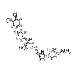 Cl.Nc1ccc(-c2csc(SCCCC(=O)NC3CCN(Cc4ccc(Cl)c(Cl)c4)CC3)n2)cc1